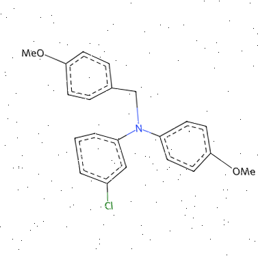 COc1ccc(CN(c2ccc(OC)cc2)c2cccc(Cl)c2)cc1